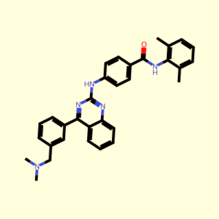 Cc1cccc(C)c1NC(=O)c1ccc(Nc2nc(-c3cccc(CN(C)C)c3)c3ccccc3n2)cc1